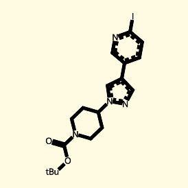 CC(C)(C)OC(=O)N1CCC(n2cc(-c3ccc(I)nc3)cn2)CC1